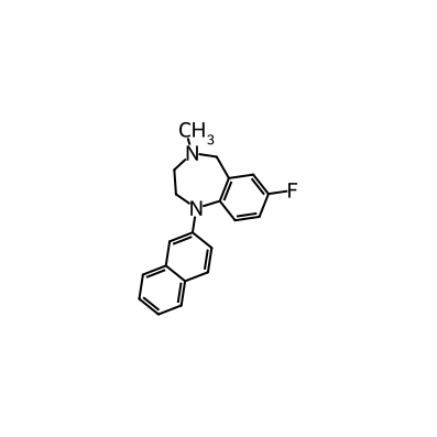 CN1CCN(c2ccc3ccccc3c2)c2ccc(F)cc2C1